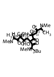 CCC(C)[C@@H](NC)C(=O)C(O)(CC(=O)C(C)(O)C(=O)[C@@H](C)NC)C(=O)C(O)(CC(=O)[C@@H](C)NC)C(=O)O